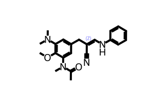 COc1c(N(C)C)cc(C/C(C#N)=C/Nc2ccccc2)cc1N(C)C(C)=O